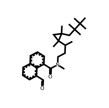 CC(CCN(C)C(=O)c1cccc2cccc(C=O)c12)C1(C)CC1(C)CC(C)(C)C(C)(C)C